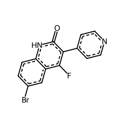 O=c1[nH]c2ccc(Br)cc2c(F)c1-c1ccncc1